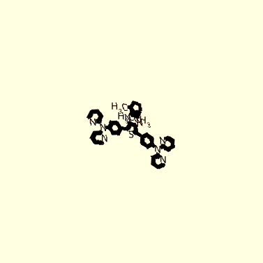 CC12CCC(c3nc4c(-c5ccc(N(c6ccccn6)c6ccccn6)cc5)sc(-c5ccc(N(c6ccccn6)c6ccccn6)cc5)c4nc31)C2(C)C